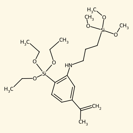 C=C(C)c1ccc([Si](OCC)(OCC)OCC)c(NCCC[Si](OC)(OC)OC)c1